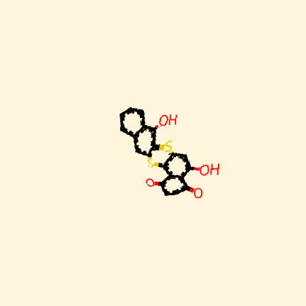 O=c1ccc(=O)c2c1c(O)cc1sc3c(O)c4ccccc4cc3sc12